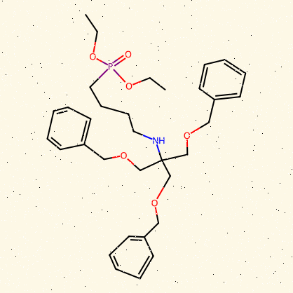 CCOP(=O)(CCCCNC(COCc1ccccc1)(COCc1ccccc1)COCc1ccccc1)OCC